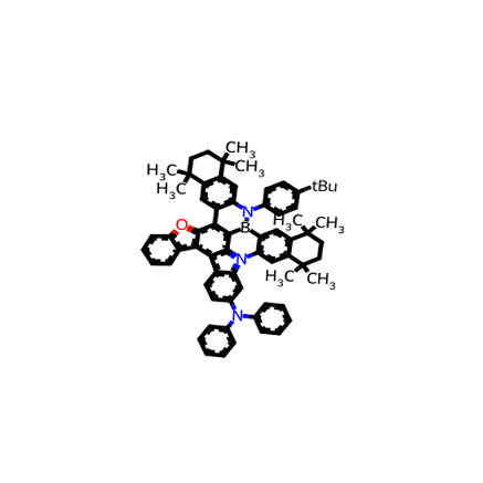 CC(C)(C)c1ccc(N2B3c4cc5c(cc4-n4c6cc(N(c7ccccc7)c7ccccc7)ccc6c6c7c(oc8ccccc87)c(c3c64)-c3cc4c(cc32)C(C)(C)CCC4(C)C)C(C)(C)CCC5(C)C)cc1